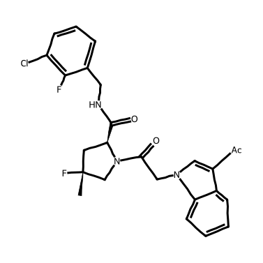 CC(=O)c1cn(CC(=O)N2C[C@](C)(F)C[C@H]2C(=O)NCc2cccc(Cl)c2F)c2ccccc12